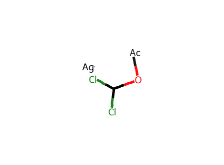 CC(=O)OC(Cl)Cl.[Ag]